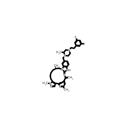 C=C1/N=C2\Nc3ccc(CN4CCN(CCc5cc(F)cc(F)c5)CC4C)cc3N2C[C@H](C)CCCCc2c(cnn2C)-c2cc1cc(C)n2